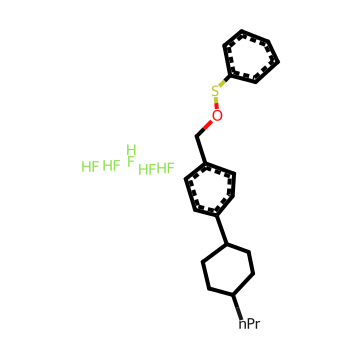 CCCC1CCC(c2ccc(COSc3ccccc3)cc2)CC1.F.F.F.F.F